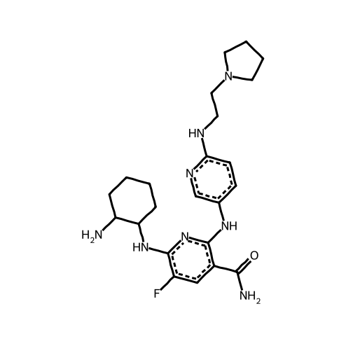 NC(=O)c1cc(F)c(NC2CCCCC2N)nc1Nc1ccc(NCCN2CCCC2)nc1